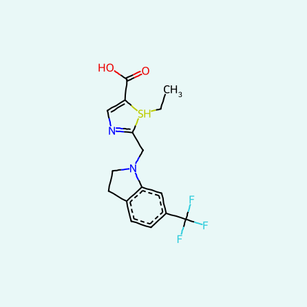 CC[SH]1C(C(=O)O)=CN=C1CN1CCc2ccc(C(F)(F)F)cc21